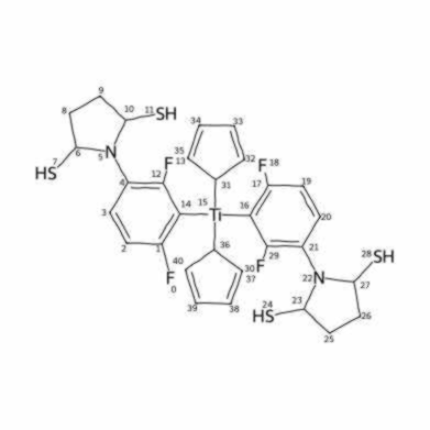 Fc1ccc(N2C(S)CCC2S)c(F)[c]1[Ti]([c]1c(F)ccc(N2C(S)CCC2S)c1F)([CH]1C=CC=C1)[CH]1C=CC=C1